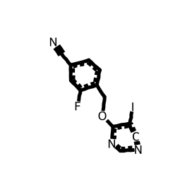 N#Cc1ccc(COc2ncncc2I)c(F)c1